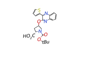 CC(C)(C)OC(=O)N1C[C@H](Oc2nc3ccccc3nc2-c2cccs2)C[C@H]1C(=O)O